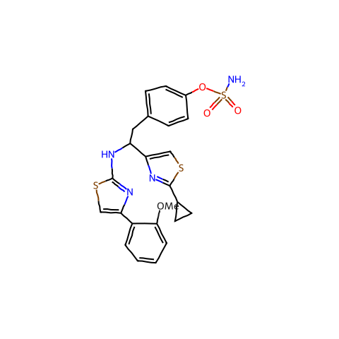 COc1ccccc1-c1csc(NC(Cc2ccc(OS(N)(=O)=O)cc2)c2csc(C3CC3)n2)n1